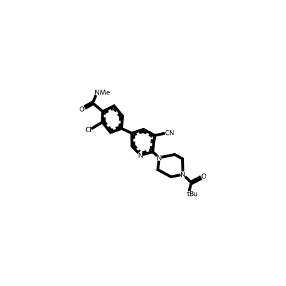 CNC(=O)c1ccc(-c2cnc(N3CCN(C(=O)C(C)(C)C)CC3)c(C#N)c2)cc1Cl